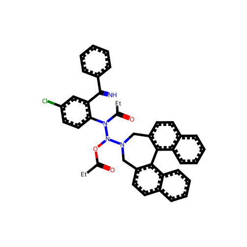 CCC(=O)ON(N1Cc2ccc3ccccc3c2-c2c(ccc3ccccc23)C1)N(C(=O)CC)c1ccc(Cl)cc1C(=N)c1ccccc1